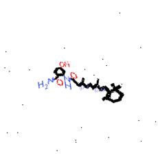 CC1=C(/C=C/C(C)=C/C=C/C(C)=C/C(=O)Nc2cc(O)ccc2C(N)=O)C(C)(C)CCC1